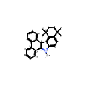 CC(C)n1c2ccc3c(c2c2c4ccccc4c4ccccc4c21)C(C)(C)CCC3(C)C